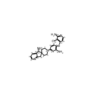 Nc1nc(N2CCC3(CC2)Cc2ncccc2[C@H]3N)ccc1Sc1ccnc(N)c1Cl